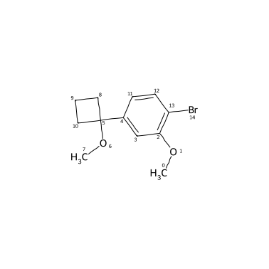 COc1cc(C2(OC)CCC2)ccc1Br